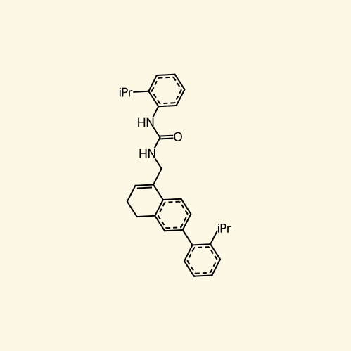 CC(C)c1ccccc1NC(=O)NCC1=CCCc2cc(-c3ccccc3C(C)C)ccc21